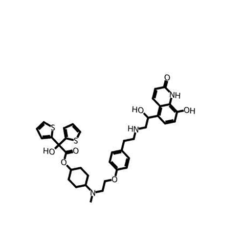 CN(CCOc1ccc(CCNCC(O)c2ccc(O)c3[nH]c(=O)ccc23)cc1)C1CCC(OC(=O)C(O)(c2cccs2)c2cccs2)CC1